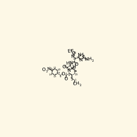 C=CSC1=C(C(=O)OCc2ccc([N+](=O)[O-])cc2)N2C(=O)C(NC(=O)C(=NOCC)c3nsc(N)n3)[C@@H]2SC1